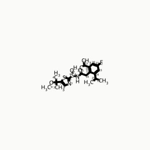 COC(C)(C)c1cnc([S+]([O-])NC(=O)Cc2c(C(C)C)cc(F)cc2C(C)C)s1